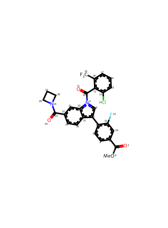 COC(=O)c1ccc(-c2cn(C(=O)c3c(Cl)cccc3C(F)(F)F)c3cc(C(=O)N4CCC4)ccc23)c(F)c1